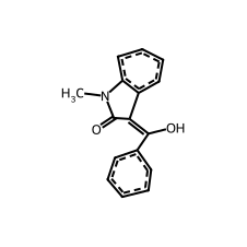 CN1C(=O)C(=C(O)c2ccccc2)c2ccccc21